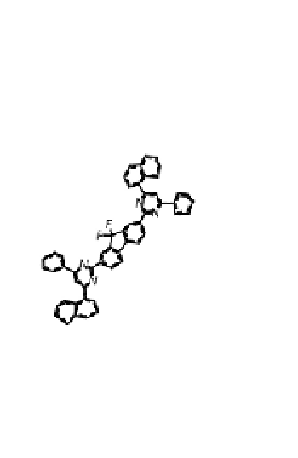 FC1(F)c2cc(-c3nc(-c4ccccc4)cc(-c4cccc5ccccc45)n3)ccc2-c2ccc(-c3nc(-c4ccccc4)cc(-c4cccc5ccccc45)n3)cc21